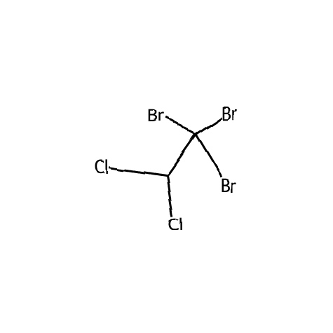 ClC(Cl)C(Br)(Br)Br